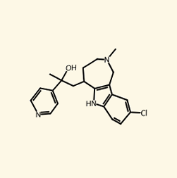 CN1CCC(CC(C)(O)c2ccncc2)c2[nH]c3ccc(Cl)cc3c2C1